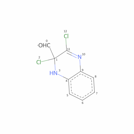 O=[C]C1(Cl)Nc2ccccc2N=C1Cl